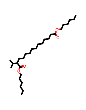 CCCCCCOC(=O)CCCCCCCCCCCC(C(=O)OCCCCCC)C(C)C